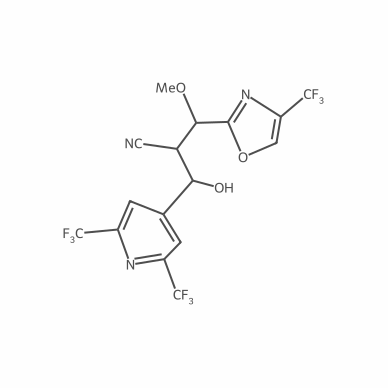 COC(c1nc(C(F)(F)F)co1)C(C#N)C(O)c1cc(C(F)(F)F)nc(C(F)(F)F)c1